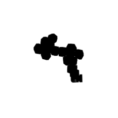 N#Cc1ccc2cc(-c3ccc4c5c(cccc35)-c3c-4c(-c4ccccc4)c4ccccc4c3-c3ccc(-c4ccc(-c5c6c(c(-c7ccccc7)c7ccccc57)-c5cccc7c5c-6cc5ccccc57)cc4)cc3)ccc2c1